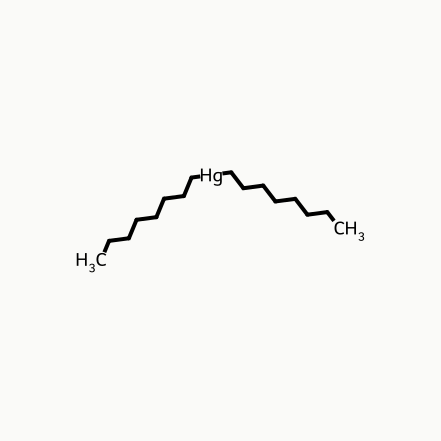 CCCCCCC[CH2][Hg][CH2]CCCCCCC